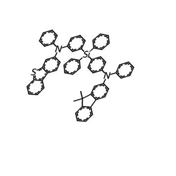 CC1(C)c2ccccc2-c2ccc(N(c3ccccc3)c3ccc([Si](c4ccccc4)(c4ccccc4)c4cccc(N(c5ccccc5)c5ccc6c(c5)sc5ccccc56)c4)cc3)cc21